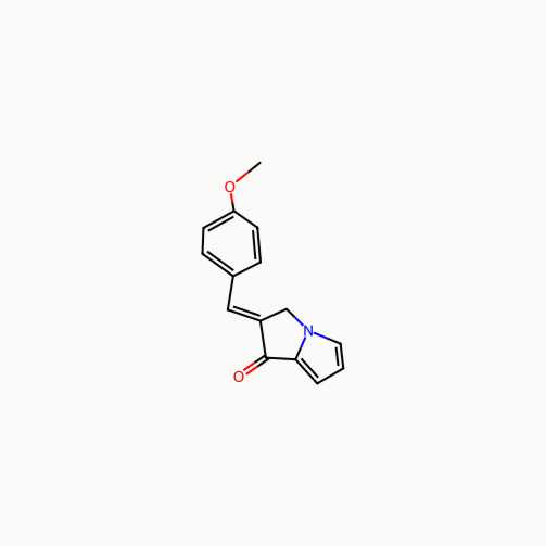 COc1ccc(/C=C2\Cn3cccc3C2=O)cc1